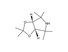 CC1(C)O[C@@H]2[C@H](O1)C(C)(C)NC2(C)C